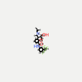 CC(C)=C/N=C(\C)C1c2cccc(C(=O)Nc3ccc(F)c(C(F)(F)F)c3)c2OC[C@@H]1CO